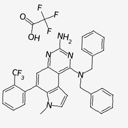 Cn1ccc2c3c(N(Cc4ccccc4)Cc4ccccc4)nc(N)nc3cc(-c3ccccc3C(F)(F)F)c21.O=C(O)C(F)(F)F